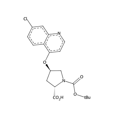 CC(C)(C)OC(=O)N1C[C@H](Oc2ccnc3cc(Cl)ccc23)C[C@H]1C(=O)O